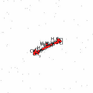 CN1Cc2c(Cl)cc(Cl)cc2C(c2cccc(NCCOCCOCCOCCN(CCOCCOCCOCCNc3cccc(C4CN(C)Cc5c(Cl)cc(Cl)cc54)c3)C(=O)C(O)C(O)C(N)=O)c2)C1